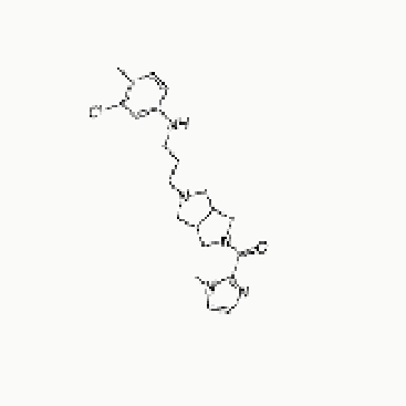 Cc1ccc(NCCCN2CC3CN(C(=O)c4nccn4C)CC3C2)cc1Cl